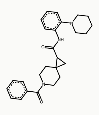 O=C(Nc1ccccc1N1CCCCC1)C1CC12CCN(C(=O)c1ccccc1)CC2